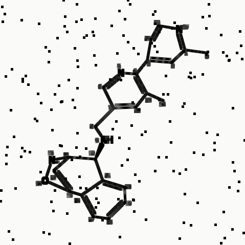 Cc1cc(-c2ncc(CN[C@@H]3c4cc(on4)-c4ccccc43)cc2C)ccn1